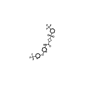 O=C(Nc1ccc(Oc2ccc(C(F)(F)F)nc2)nc1)C1CC(S(=O)(=O)c2cccc(C(F)(F)F)c2)C1